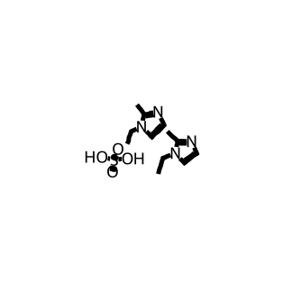 CCn1ccnc1C.CCn1ccnc1C.O=S(=O)(O)O